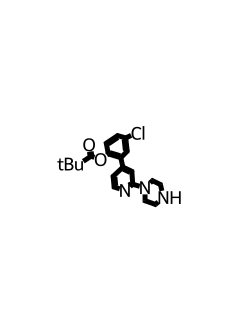 CC(C)(C)C(=O)Oc1ccc(Cl)cc1-c1ccnc(N2CCNCC2)c1